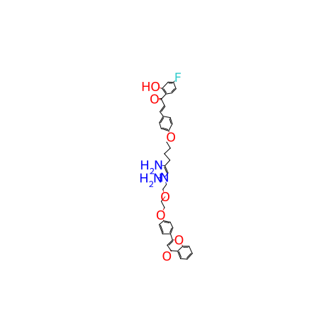 N/C(=C\N(N)CCOCCOc1ccc(-c2cc(=O)c3ccccc3o2)cc1)CCCCOc1ccc(/C=C/C(=O)c2ccc(F)cc2O)cc1